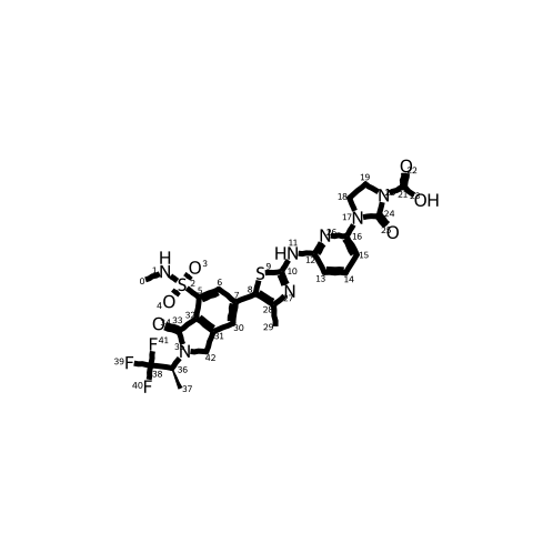 CNS(=O)(=O)c1cc(-c2sc(Nc3cccc(N4CCN(C(=O)O)C4=O)n3)nc2C)cc2c1C(=O)N([C@@H](C)C(F)(F)F)C2